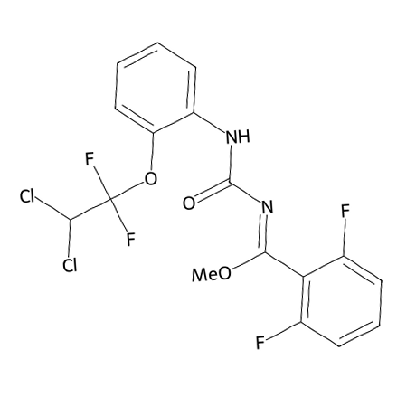 CO/C(=N\C(=O)Nc1ccccc1OC(F)(F)C(Cl)Cl)c1c(F)cccc1F